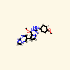 COc1nc(NC2CCC(OC)CC2)nn2ccc(-c3cnc4nccn4c3)c12